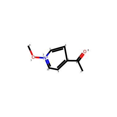 CO[n+]1ccc(C(C)=O)cc1